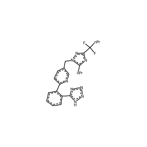 CCCc1nc(C(F)(F)CCC)nn1Cc1ccc(-c2ccccc2-c2nnn[nH]2)nc1